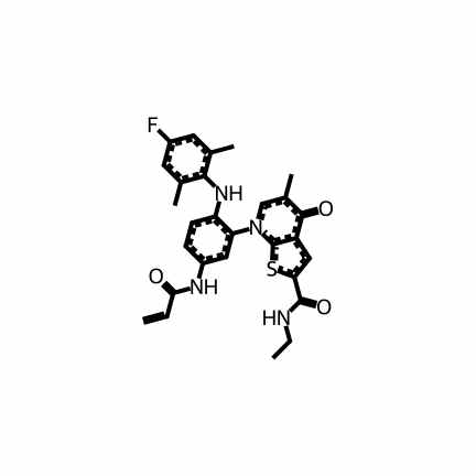 C=CC(=O)Nc1ccc(Nc2c(C)cc(F)cc2C)c(-n2cc(C)c(=O)c3cc(C(=O)NCC)sc32)c1